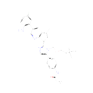 COC(=O)Nc1ccc(-c2cnc(C3CC(C)c4cc(-c5cc(Cl)ccc5N)cnc43)n2COCC[Si](C)(C)C)cc1